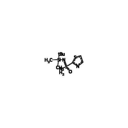 CC(C)(C)[Si](C)(C)N=S(N)(=O)c1nccs1